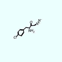 [N-]=[N+]=CC(=O)[C@@H](N)Cc1ccc(Cl)cc1